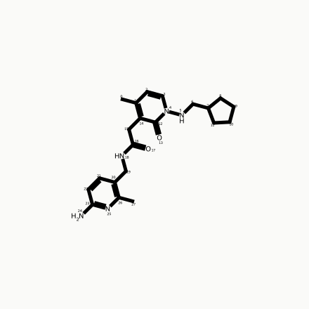 Cc1ccn(NCC2CCCC2)c(=O)c1CC(=O)NCc1ccc(N)nc1C